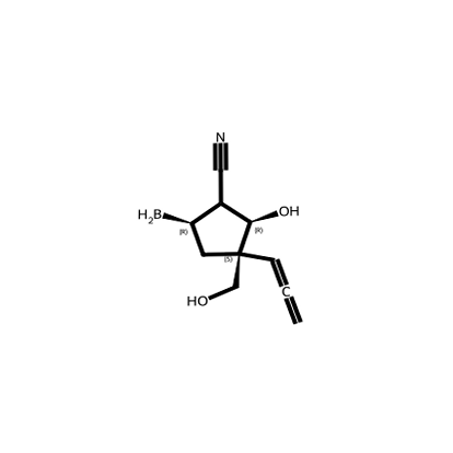 B[C@@H]1C[C@](C=C=C)(CO)[C@H](O)C1C#N